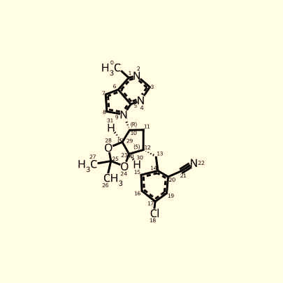 Cc1ncnc2c1ccn2[C@@H]1C[C@H](Cc2ccc(Cl)cc2C#N)[C@H]2OC(C)(C)O[C@H]21